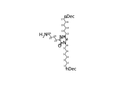 CCCCCCCCCCCCCCCCCCN(CCCCCCCCCCCCCCCCCC)C(=O)[C@@H](N)CCCCN